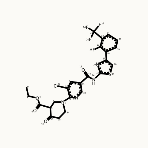 CCOC(=O)C1CN(c2ncc(C(=O)Nc3nc(-c4cccc(C(F)(F)F)c4F)cs3)cc2Cl)CCC1=O